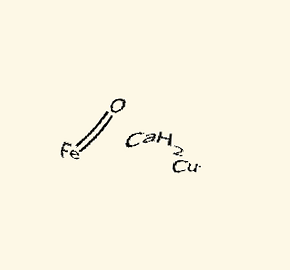 [CaH2].[Cu].[O]=[Fe]